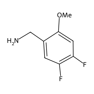 COc1cc(F)c(F)cc1CN